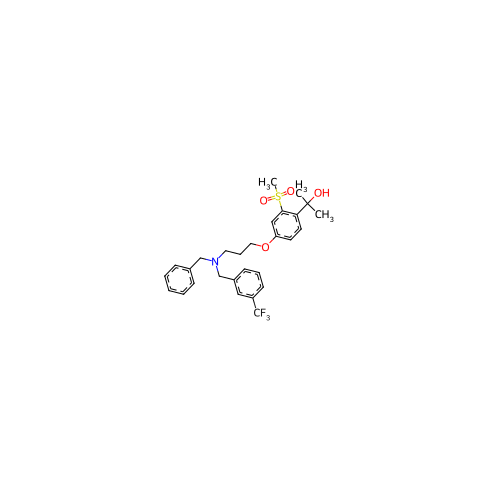 CC(C)(O)c1ccc(OCCCN(Cc2ccccc2)Cc2cccc(C(F)(F)F)c2)cc1S(C)(=O)=O